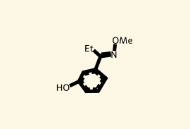 CC/C(=N\OC)c1cccc(O)c1